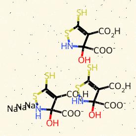 O=C(O)C1=C(S)SNC1(O)C(=O)[O-].O=C(O)C1=C(S)SNC1(O)C(=O)[O-].O=C(O)C1=C(S)SNC1(O)C(=O)[O-].[Na+].[Na+].[Na+]